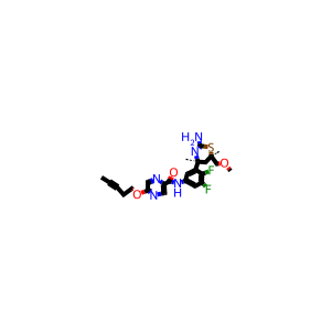 CC#CCCOc1cnc(C(=O)Nc2cc(F)c(F)c([C@]3(C)C[C@](C)(COC)SC(N)=N3)c2)cn1